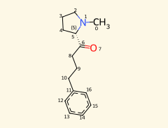 CN1CCC[C@H]1C(=O)CCCc1ccccc1